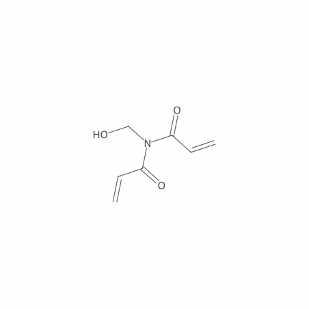 C=CC(=O)N(CO)C(=O)C=C